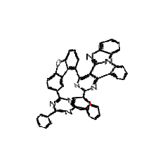 c1ccc(-c2nc(-c3ccccc3)nc(-c3ccc4oc5cccc(-c6nc(-c7ccccc7)nc7c8ccccc8n8c9ccccc9nc8c67)c5c4c3)n2)cc1